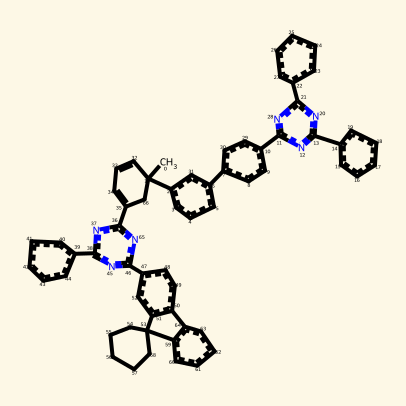 CC1(c2cccc(-c3ccc(-c4nc(-c5ccccc5)nc(-c5ccccc5)n4)cc3)c2)C=CC=C(c2nc(-c3ccccc3)nc(-c3ccc4c(c3)C3(CCCCC3)c3ccccc3-4)n2)C1